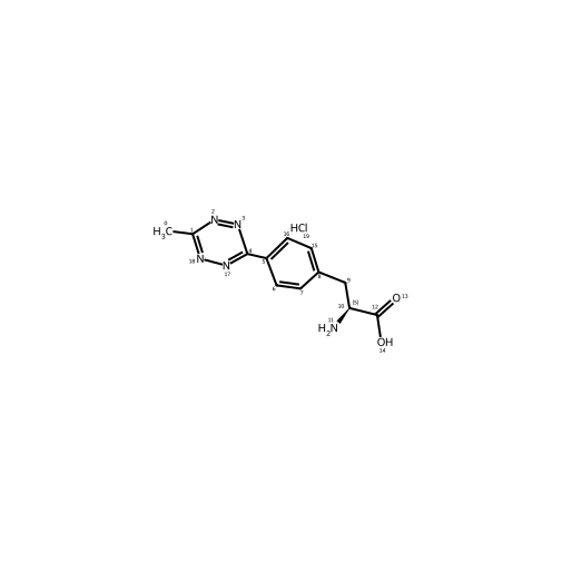 Cc1nnc(-c2ccc(C[C@H](N)C(=O)O)cc2)nn1.Cl